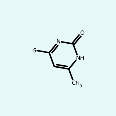 Cc1cc([S])nc(=O)[nH]1